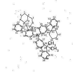 CCC1CCC2CCCC(C2)C12c1ccccc1-c1ccc(N(c3ccc4c(c3)C(C)(C)c3ccccc3-4)c3ccc4c(c3)C3(CCCCC3)c3ccccc3-4)cc12